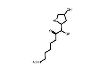 CC(=O)NCCCCCC(=O)C(O)[C@@H]1CC(O)CN1